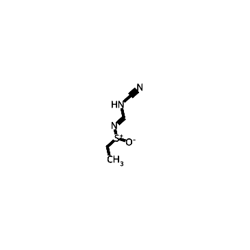 CC[S+]([O-])/N=C/NC#N